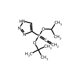 C=C=P(OC(C)C)(OC(C)(C)C)c1c[nH]nn1